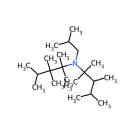 CC(C)CN(C(C)(C)C(C)C(C)C)C(C)(C)C(C)(C)C(C)C